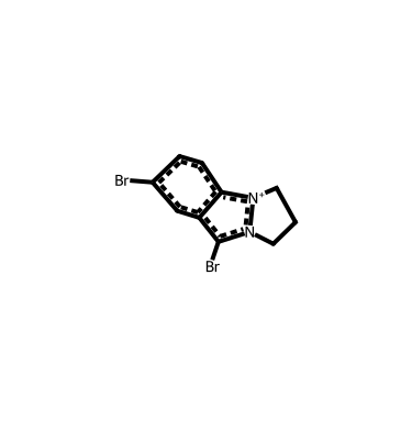 Brc1ccc2c(c1)c(Br)n1[n+]2CCC1